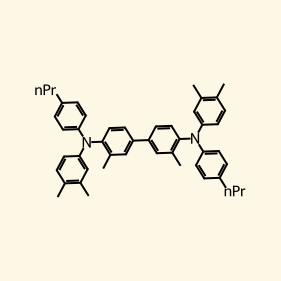 CCCc1ccc(N(c2ccc(C)c(C)c2)c2ccc(-c3ccc(N(c4ccc(CCC)cc4)c4ccc(C)c(C)c4)c(C)c3)cc2C)cc1